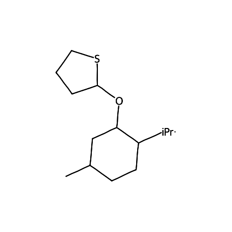 C[C](C)C1CCC(C)CC1OC1CCCS1